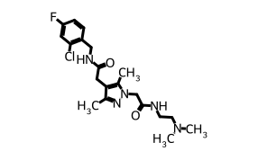 Cc1nn(CC(=O)NCCN(C)C)c(C)c1CC(=O)NCc1ccc(F)cc1Cl